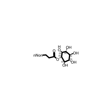 CCCCCCCCCCCC(=O)O[C@@H]1[C@@H](O)[C@H](O)[C@@H](O)[C@H](O)[C@@H]1O